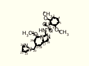 COc1cccc(OC)c1S(=O)(=O)Nc1ncc2cc(Cn3cccn3)cc(OC)n12